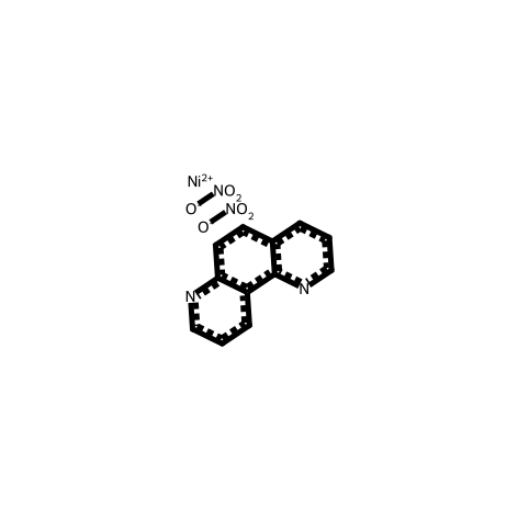 O=[N+]([O-])[O-].O=[N+]([O-])[O-].[Ni+2].c1cnc2c(c1)ccc1ncccc12